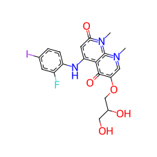 Cn1cc(OCC(O)CO)c(=O)c2c(Nc3ccc(I)cc3F)cc(=O)n(C)c21